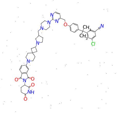 CC(C)(c1ccc(OCc2ccnc(N3CCN(CC4CCN(C5CC6(CCN(c7ccc8c(c7)C(=O)N(C7CCC(=O)NC7=O)C8=O)CC6)C5)C4)CC3)n2)cc1)c1cc(Cl)cc(C#N)c1